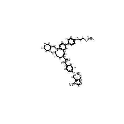 CCCCOCCOc1ccc(-c2ccc3c(c2)/C=C(/C(=O)Nc2ccc([S@+]([O-])Cc4c(C)ncn4CC)cc2)CCCN3CC2COCCN2C)cc1